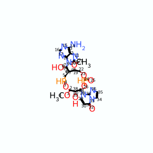 COC1OPC[C@@H]([C@@H](O)n2cnc3c(N)ncnc32)[C@H](OC)CO[PH](=O)O[C@@H](n2ccc(=O)n3ccnc23)[C@@H]1O